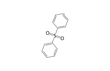 O=S(=O)(c1cc[c]cc1)c1ccccc1